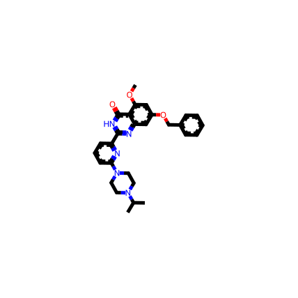 COc1cc(OCc2ccccc2)cc2nc(-c3cccc(N4CCN(C(C)C)CC4)n3)[nH]c(=O)c12